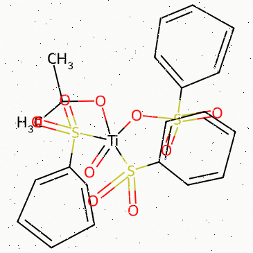 CC(C)[O][Ti](=[O])([O]S(=O)(=O)c1ccccc1)([S](=O)(=O)c1ccccc1)[S](=O)(=O)c1ccccc1